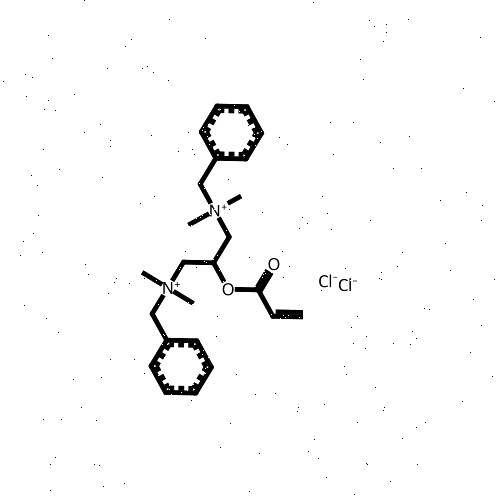 C=CC(=O)OC(C[N+](C)(C)Cc1ccccc1)C[N+](C)(C)Cc1ccccc1.[Cl-].[Cl-]